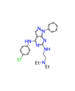 CCN(CC)CCNc1nc(Nc2ccc(Cl)cc2)c2cnn(-c3ccccc3)c2n1